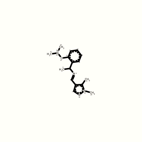 Cc1c(C=NC(C)c2ccccc2O[SiH](C)C)cnn1C